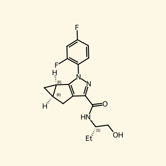 CC[C@@H](CO)NC(=O)c1nn(-c2ccc(F)cc2F)c2c1C[C@H]1C[C@@H]21